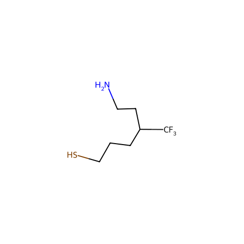 NCCC(CCCS)C(F)(F)F